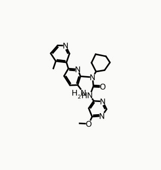 COc1cc(NC(=O)N(c2nc(-c3cnccc3C)ccc2N)C2CCCCC2)ncn1